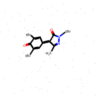 CC1=NN(C(C)(C)C)C(=O)C1=C1C=C(C(C)(C)C)C(=O)C(C(C)(C)C)=C1